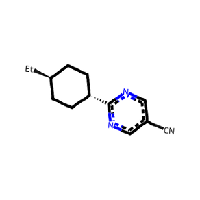 CC[C@H]1CC[C@H](c2ncc(C#N)cn2)CC1